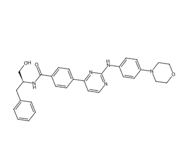 O=C(N[C@H](CO)Cc1ccccc1)c1ccc(-c2ccnc(Nc3ccc(N4CCOCC4)cc3)n2)cc1